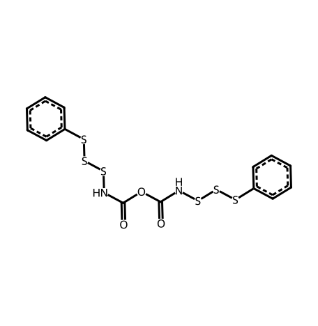 O=C(NSSSc1ccccc1)OC(=O)NSSSc1ccccc1